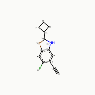 C#Cc1cc2c(cc1F)SC(C1CCC1)N2